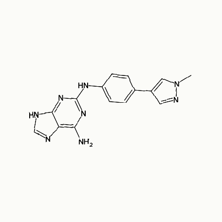 Cn1cc(-c2ccc(Nc3nc(N)c4nc[nH]c4n3)cc2)cn1